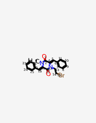 Cn1c(=O)c(=Cc2ccccc2)n(CCBr)c(=O)c1=Cc1ccccc1